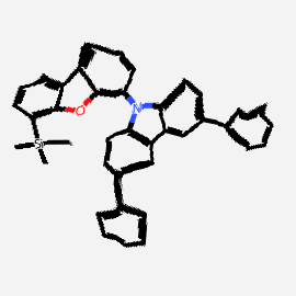 C[Si](C)(C)c1cccc2c1oc1c(-n3c4ccc(-c5ccccc5)cc4c4cc(-c5ccccc5)ccc43)cccc12